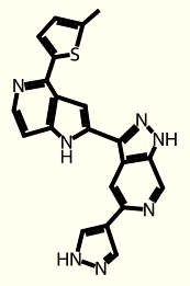 Cc1ccc(-c2nccc3[nH]c(-c4n[nH]c5cnc(-c6cn[nH]c6)cc45)cc23)s1